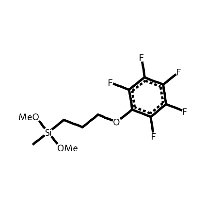 CO[Si](C)(CCCOc1c(F)c(F)c(F)c(F)c1F)OC